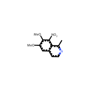 COc1cc2ccnc(C)c2c([N+](=O)[O-])c1OC